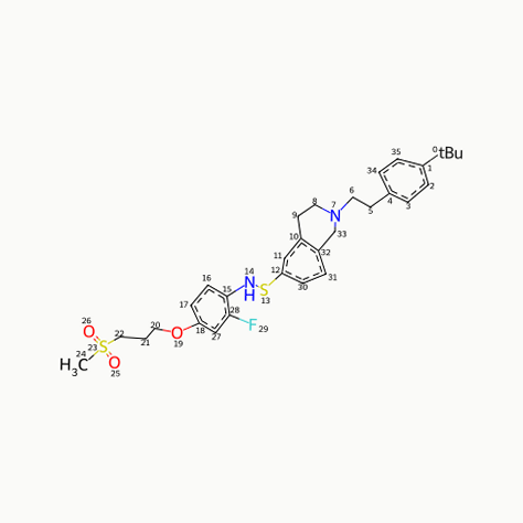 CC(C)(C)c1ccc(CCN2CCc3cc(SNc4ccc(OCCCS(C)(=O)=O)cc4F)ccc3C2)cc1